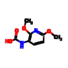 COc1ccc(NC(=O)O)c(OC)n1